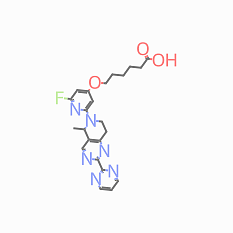 CC1c2cnc(-c3ncccn3)nc2CCN1c1cc(OCCCCCC(=O)O)cc(F)n1